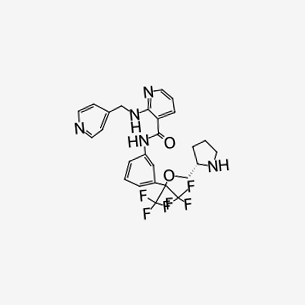 O=C(Nc1cccc(C(OC[C@@H]2CCCN2)(C(F)(F)F)C(F)(F)F)c1)c1cccnc1NCc1ccncc1